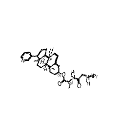 CC(C)NCC(=O)N[C@@H](C)C(=O)O[C@H]1CC[C@@]2(C)C(=CC[C@@H]3[C@@H]2CC[C@]2(C)C(c4cccnc4)=CC[C@@H]32)C1